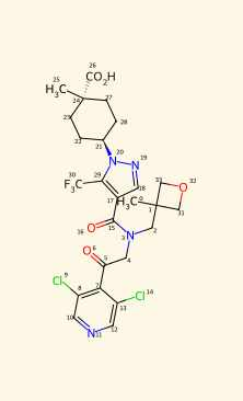 CC1(CN(CC(=O)c2c(Cl)cncc2Cl)C(=O)c2cnn([C@H]3CC[C@](C)(C(=O)O)CC3)c2C(F)(F)F)COC1